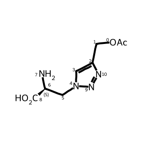 CC(=O)OCc1cn(C[C@H](N)C(=O)O)nn1